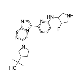 CC(C)(O)C1CCN(c2cn3c(-c4cccc(NC5CNCC5F)n4)cnc3cn2)C1